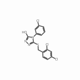 Oc1nnc(SCc2ccc(Cl)cc2Cl)n1-c1cccc(Cl)c1